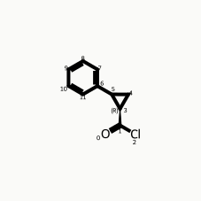 O=C(Cl)[C@@H]1CC1c1ccccc1